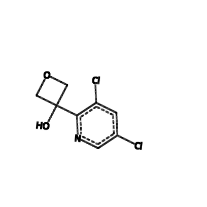 OC1(c2ncc(Cl)cc2Cl)COC1